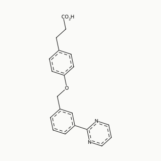 O=C(O)CCc1ccc(OCc2cccc(-c3ncccn3)c2)cc1